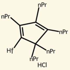 CCCC1=[C]([Hf])C(CCC)(CCC)C(CCC)=C1CCC.Cl